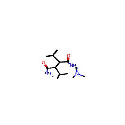 CC(C)C(C(N)=O)C(C(N)=O)C(C)C.CN(C)C